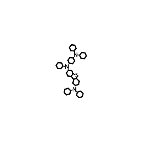 c1ccc(N(c2ccccc2)c2ccc(N(c3ccccc3)c3ccc4c(c3)sc3ccc(N(c5ccccc5)c5ccccc5)cc34)cc2)cc1